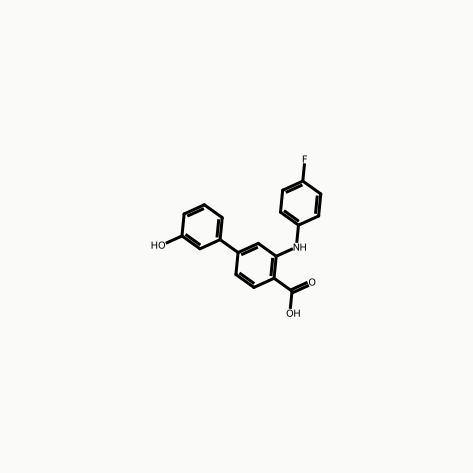 O=C(O)c1ccc(-c2cccc(O)c2)cc1Nc1ccc(F)cc1